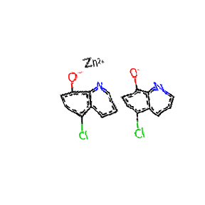 [O-]c1ccc(Cl)c2cccnc12.[O-]c1ccc(Cl)c2cccnc12.[Zn+2]